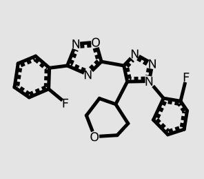 Fc1ccccc1-c1noc(-c2nnn(-c3ccccc3F)c2C2CCOCC2)n1